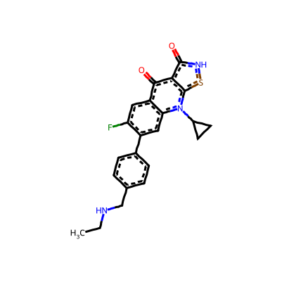 CCNCc1ccc(-c2cc3c(cc2F)c(=O)c2c(=O)[nH]sc2n3C2CC2)cc1